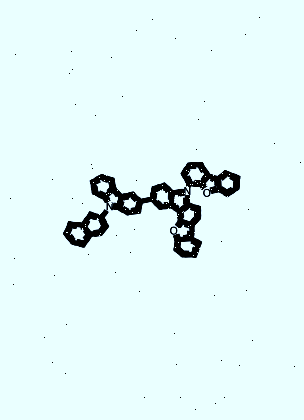 c1ccc2cc(-n3c4ccccc4c4cc(-c5ccc6c(c5)c5c7oc8ccccc8c7ccc5n6-c5cccc6c5oc5ccccc56)ccc43)ccc2c1